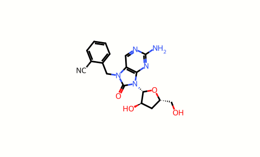 N#Cc1ccccc1Cn1c(=O)n([C@@H]2O[C@H](CO)C[C@H]2O)c2nc(N)ncc21